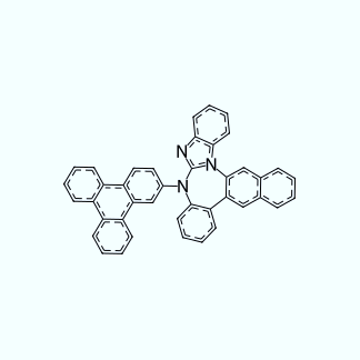 c1ccc2c(c1)-c1cc3ccccc3cc1-n1c(nc3ccccc31)N2c1ccc2c3ccccc3c3ccccc3c2c1